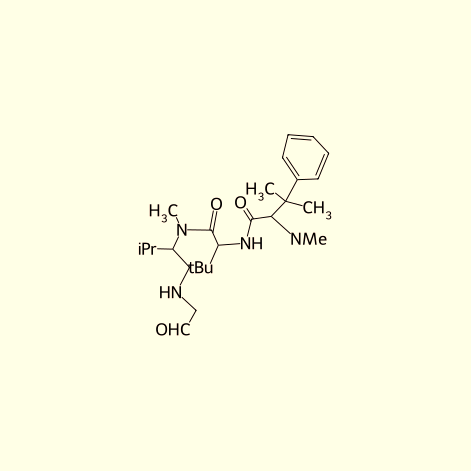 CNC(C(=O)NC(C(=O)N(C)C(CNCC=O)C(C)C)C(C)(C)C)C(C)(C)c1ccccc1